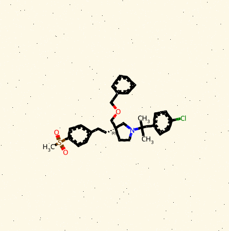 CC(C)(c1ccc(Cl)cc1)N1CC[C@@](CCc2ccc(S(C)(=O)=O)cc2)(COCc2ccccc2)C1